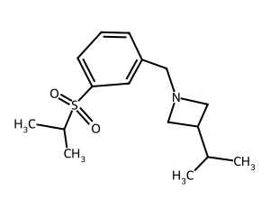 CC(C)C1CN(Cc2cccc(S(=O)(=O)C(C)C)c2)C1